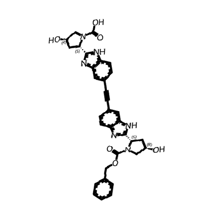 O=C(O)N1C[C@H](O)C[C@H]1c1nc2cc(C#Cc3ccc4nc([C@@H]5C[C@@H](O)CN5C(=O)OCc5ccccc5)[nH]c4c3)ccc2[nH]1